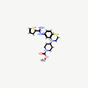 CC(C)(C)OC(=O)N1CCC(N2CCSc3ccc(NC(=N)C4CC=CS4)cc32)CC1